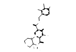 CCCCN1C(=O)c2c(O)c(=O)c(C(=O)NCc3ccc(F)c(Cl)c3F)cn2[C@H]2CCOC[C@]21C